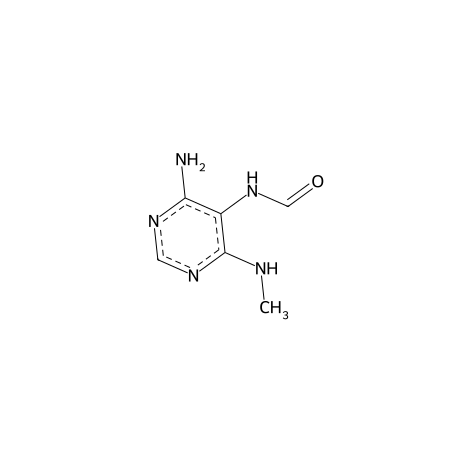 CNc1ncnc(N)c1NC=O